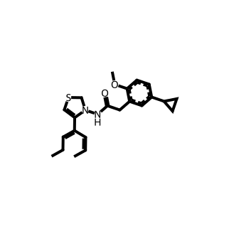 C/C=C\C(=C/CC)C1=CSCN1NC(=O)Cc1cc(C2CC2)ccc1OC